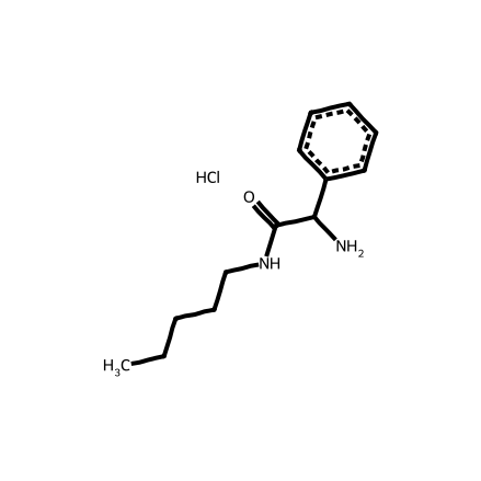 CCCCCNC(=O)C(N)c1ccccc1.Cl